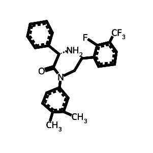 Cc1ccc(N(CCc2cccc(C(F)(F)F)c2F)C(=O)[C@@H](N)c2ccccc2)cc1C